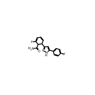 NC(=O)C1C(F)=CC=CC1c1cc(-c2ccc(F)cc2)[nH]n1